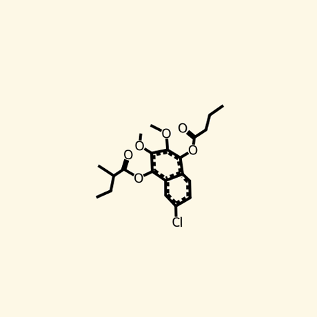 CCCC(=O)Oc1c(OC)c(OC)c(OC(=O)C(C)CC)c2cc(Cl)ccc12